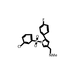 CNCc1cc(-c2ccc(F)cc2)n(S(=O)(=O)c2cccc(Cl)c2)c1